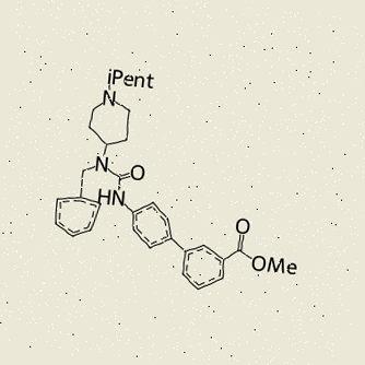 CCCC(C)N1CCC(N(Cc2ccccc2)C(=O)Nc2ccc(-c3cccc(C(=O)OC)c3)cc2)CC1